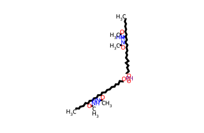 CCCCCCCCC(CC(CCCCCCCCCCCCO[PH](=O)OCCCCCCCCCCCCC(CC(CCCCCCCC)NC(C)=O)NC(C)=O)NC(C)=O)NC(C)=O